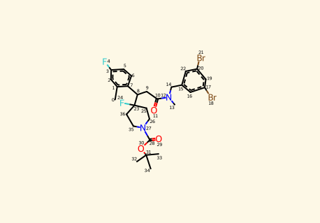 Cc1cc(F)ccc1C(CC(=O)N(C)Cc1cc(Br)cc(Br)c1)C1(F)CCN(C(=O)OC(C)(C)C)CC1